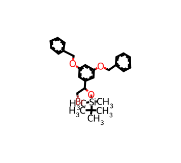 CC(C)(C)[Si](C)(C)OC(CBr)c1cc(OCc2ccccc2)cc(OCc2ccccc2)c1